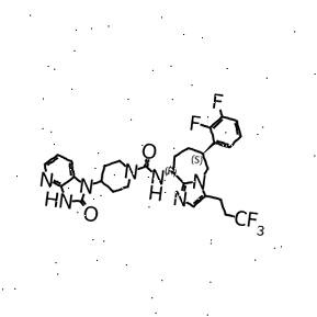 O=C(N[C@@H]1CC[C@@H](c2cccc(F)c2F)Cn2c(CCC(F)(F)F)cnc21)N1CCC(n2c(=O)[nH]c3ncccc32)CC1